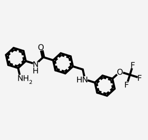 Nc1ccccc1NC(=O)c1ccc(CNc2cccc(OC(F)(F)F)c2)cc1